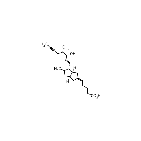 CC#CCC(C)[C@H](O)/C=C/[C@@H]1[C@H]2C/C(=C/CCCC(=O)O)C[C@H]2C[C@H]1C